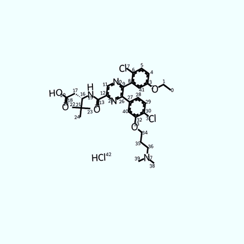 CCOc1ccc(Cl)c(-c2ncc(C(=O)N[C@@H](CC(=O)O)C(C)(C)C)nc2-c2ccc(Cl)c(OCCCN(C)C)c2)c1.Cl